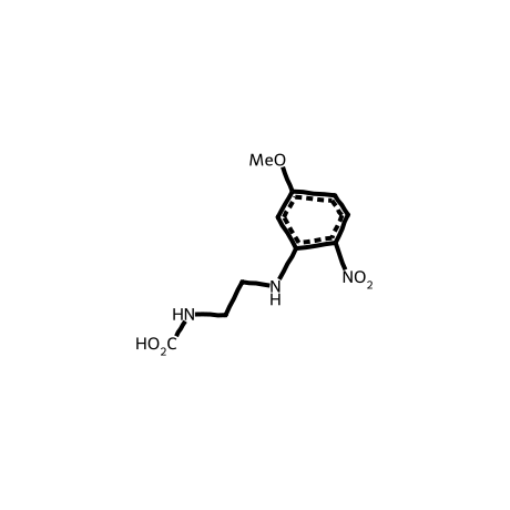 COc1ccc([N+](=O)[O-])c(NCCNC(=O)O)c1